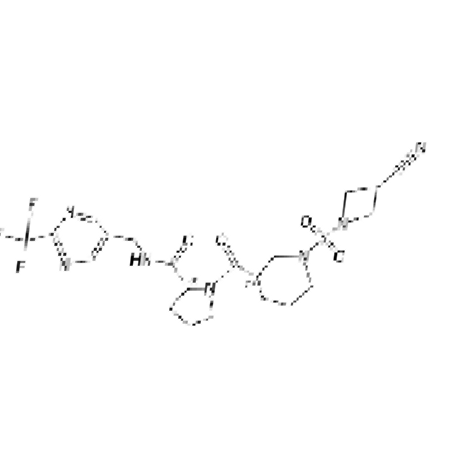 N#CC1CN(S(=O)(=O)N2CCC[C@H](C(=O)N3CCC[C@@H]3C(=O)NCc3cnc(C(F)(F)F)nc3)C2)C1